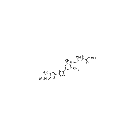 CNCc1sc(-c2nc(-c3cc(C)c(OC[C@H](O)CNC(=O)CO)c(C)c3)no2)cc1C